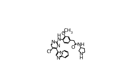 COc1cc(CC(=O)NC2CCNC2)ccc1Nc1ncc(Cl)c(-c2cnc3ccccn23)n1